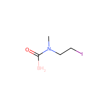 BC(=O)N(C)CCI